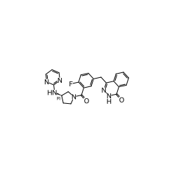 O=C(c1cc(Cc2n[nH]c(=O)c3ccccc23)ccc1F)N1CC[C@@H](Nc2ncccn2)C1